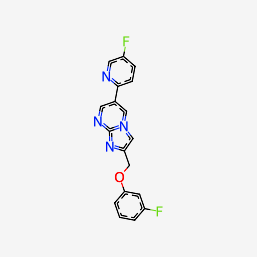 Fc1ccc(-c2cnc3nc(COc4cccc(F)c4)cn3c2)nc1